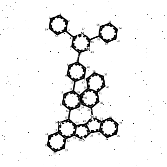 c1ccc(-c2cc(-c3ccc(-c4ccc(-c5nc6ccccc6c6sc7c8ccccc8n(-c8ccc9ccccc9c8)c7c56)cc4)cc3)nc(-c3ccccc3)n2)cc1